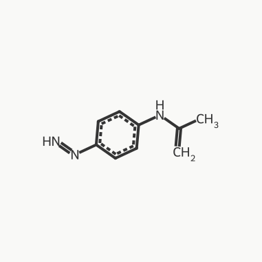 C=C(C)Nc1ccc(N=N)cc1